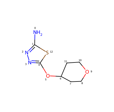 Nc1nnc(OC2CCOCC2)s1